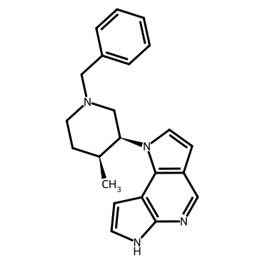 C[C@H]1CCN(Cc2ccccc2)C[C@H]1n1ccc2cnc3[nH]ccc3c21